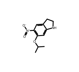 CC(C)Oc1cc2c(cc1[N+](=O)[O-])CCN2